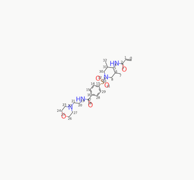 C=CC(=O)NC1C(C)CN(S(=O)(=O)c2ccc(C(=O)NCCN3CCOCC3)cc2)CC1C